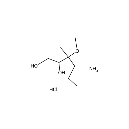 CCCC(C)(OC)C(O)CO.Cl.N